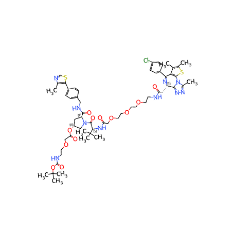 Cc1ncsc1-c1ccc(CNC(=O)[C@@H]2C[C@@H](OC(=O)COCCNC(=O)OC(C)(C)C)CN2C(=O)[C@@H](NC(=O)COCCOCCOCCNC(=O)C[C@@H]2N=C(c3ccc(Cl)cc3)c3c(sc(C)c3C)-n3c(C)nnc32)C(C)(C)C)cc1